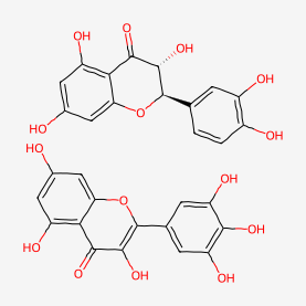 O=C1c2c(O)cc(O)cc2O[C@H](c2ccc(O)c(O)c2)[C@H]1O.O=c1c(O)c(-c2cc(O)c(O)c(O)c2)oc2cc(O)cc(O)c12